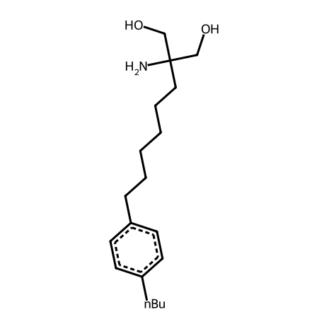 CCCCc1ccc(CCCCCCC(N)(CO)CO)cc1